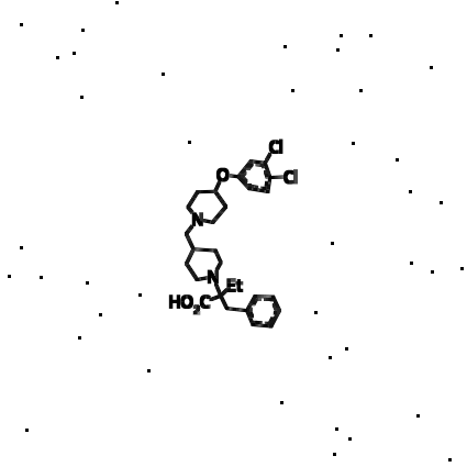 CCC(Cc1ccccc1)(C(=O)O)N1CCC(CN2CCC(Oc3ccc(Cl)c(Cl)c3)CC2)CC1